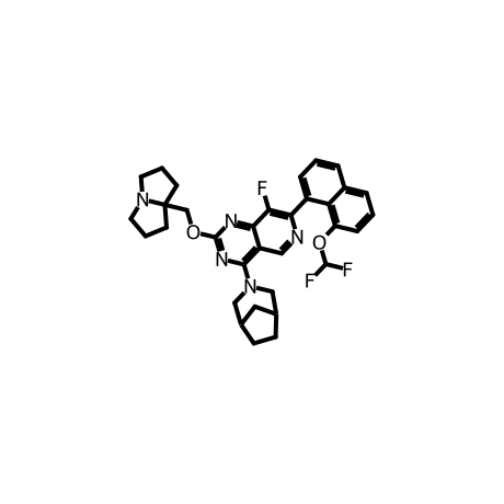 Fc1c(-c2cccc3cccc(OC(F)F)c23)ncc2c(N3CC4CCC(C4)C3)nc(OCC34CCCN3CCC4)nc12